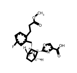 COC(=O)CCc1ccc(F)cc1C[C@@H]1[C@H](c2nc(C(=O)O)co2)[C@H]2CC[C@H]1O2